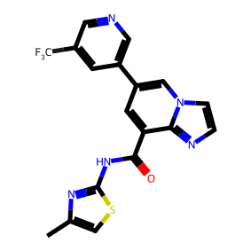 Cc1csc(NC(=O)c2cc(-c3cncc(C(F)(F)F)c3)cn3ccnc23)n1